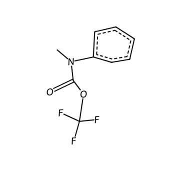 CN(C(=O)OC(F)(F)F)c1ccccc1